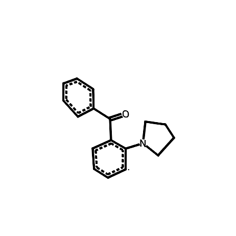 O=C(c1ccccc1)c1ccc[c]c1N1CCCC1